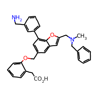 CN(Cc1ccccc1)Cc1cc2cc(COc3ccccc3CC(=O)O)cc(-c3cccc(CN)c3)c2o1